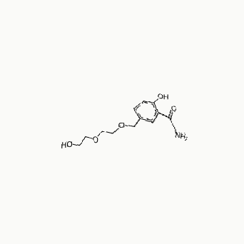 NC(=O)c1cc(COCCOCCO)ccc1O